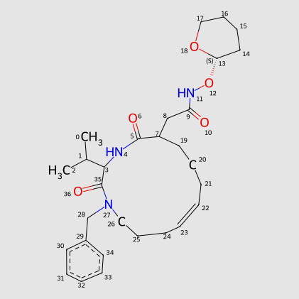 CC(C)C1NC(=O)C(CC(=O)NO[C@H]2CCCCO2)CCCC=CCCCN(Cc2ccccc2)C1=O